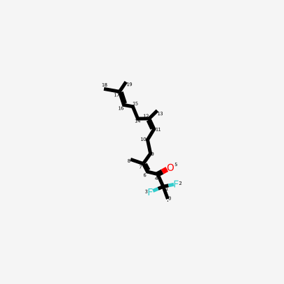 [CH2]C(F)(F)C(=O)C=C(C)CCC=C(C)CCC=C(C)C